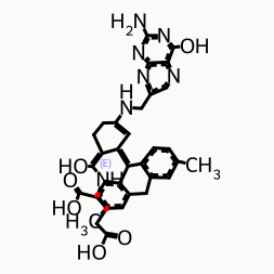 Cc1ccc2c(c1)Cc1cc(C)ccc1C2=C1C=C(NCc2cnc3c(O)nc(N)nc3n2)CC/C1=C(\O)NC(CCC(=O)O)C(=O)O